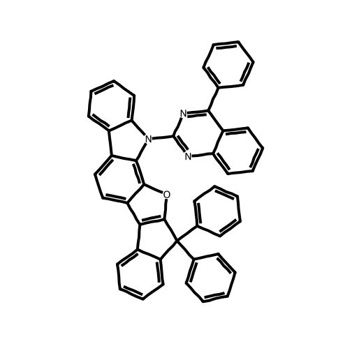 c1ccc(-c2nc(-n3c4ccccc4c4ccc5c6c(oc5c43)C(c3ccccc3)(c3ccccc3)c3ccccc3-6)nc3ccccc23)cc1